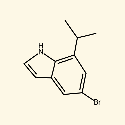 CC(C)c1cc(Br)cc2cc[nH]c12